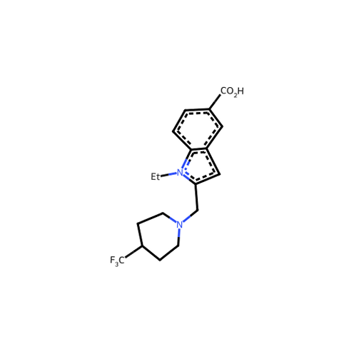 CCn1c(CN2CCC(C(F)(F)F)CC2)cc2cc(C(=O)O)ccc21